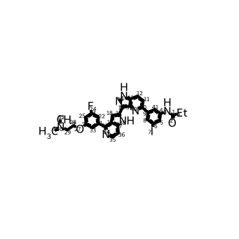 CCC(=O)Nc1cc(I)cc(-c2ccc3[nH]nc(-c4cc5c(-c6cc(F)cc(OCCN(C)C)c6)nccc5[nH]4)c3n2)c1